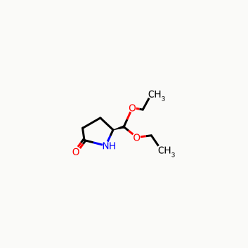 CCOC(OCC)[C@@H]1CCC(=O)N1